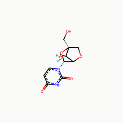 C[C@@H]1C2OC[C@]1(CO)O[C@H]2n1ccc(=O)[nH]c1=O